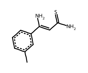 Cc1cccc(C(N)=CC(N)=S)c1